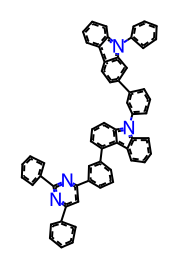 c1ccc(-c2cc(-c3cccc(-c4cccc5c4c4ccccc4n5-c4cccc(-c5ccc6c7ccccc7n(-c7ccccc7)c6c5)c4)c3)nc(-c3ccccc3)n2)cc1